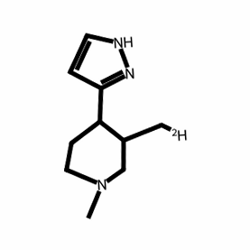 [2H]CC1CN(C)CCC1c1cc[nH]n1